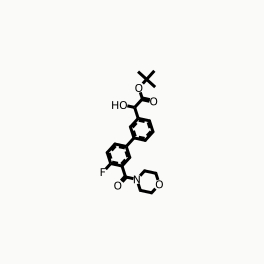 CC(C)(C)OC(=O)C(O)c1cccc(-c2ccc(F)c(C(=O)N3CCOCC3)c2)c1